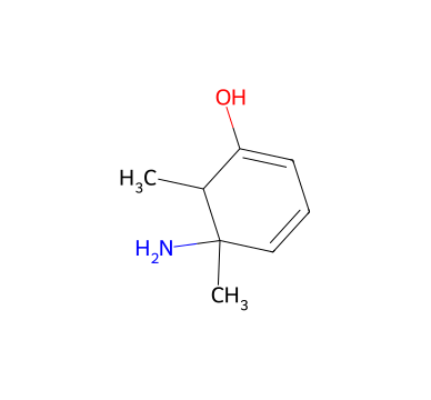 CC1C(O)=CC=CC1(C)N